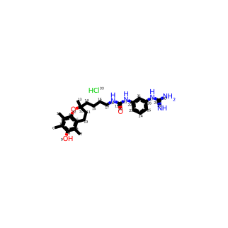 Cc1c(C)c2c(c(C)c1O)CCC(C)(CCCCNC(=O)Nc1cccc(NC(=N)N)c1)O2.Cl